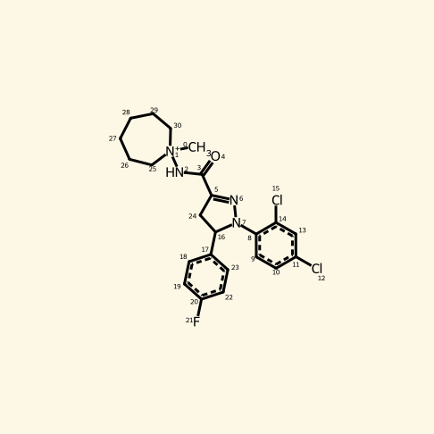 C[N+]1(NC(=O)C2=NN(c3ccc(Cl)cc3Cl)C(c3ccc(F)cc3)C2)CCCCCC1